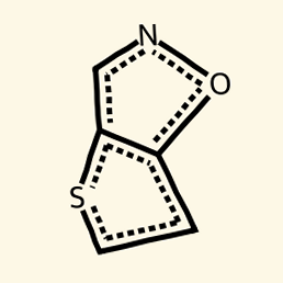 c1cc2oncc2s1